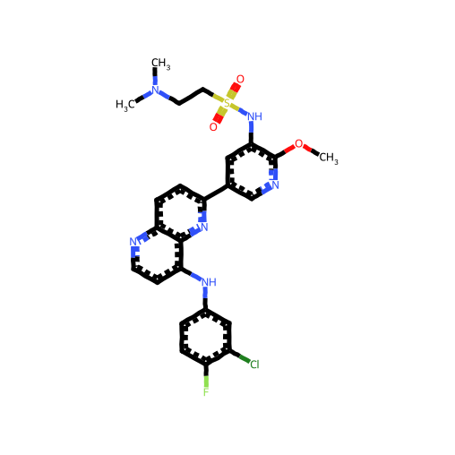 COc1ncc(-c2ccc3nccc(Nc4ccc(F)c(Cl)c4)c3n2)cc1NS(=O)(=O)CCN(C)C